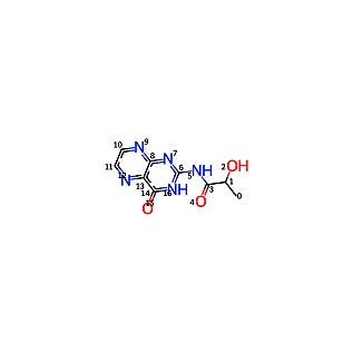 CC(O)C(=O)Nc1nc2nccnc2c(=O)[nH]1